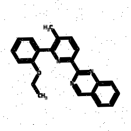 CCOc1ccccc1-c1nc(-c2ncc3ccccc3n2)ccc1C